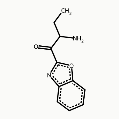 CCC(N)C(=O)c1nc2ccccc2o1